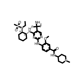 CCN([C@@H]1CCCC[C@H]1Nc1nc(Nc2ccc(C(=O)NC3CCN(C)CC3)cc2OC)ncc1C(N)(F)F)S(C)(=O)=O